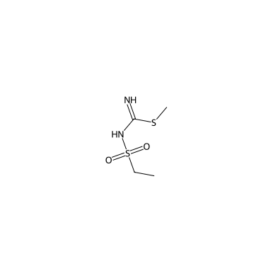 CCS(=O)(=O)NC(=N)SC